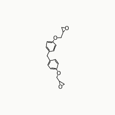 c1cc(OCC2CO2)ccc1Cc1ccc(OCC2CO2)cc1